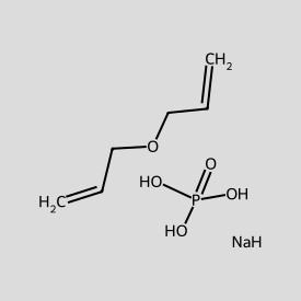 C=CCOCC=C.O=P(O)(O)O.[NaH]